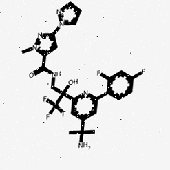 Cn1nc(-n2cccn2)cc1C(=O)NCC(O)(c1cc(C(C)(C)N)cc(-c2ccc(F)cc2F)n1)C(F)(F)F